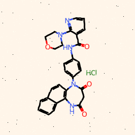 Cl.O=C1CC(=O)N(c2ccc(NC(=O)c3cccnc3N3CCOCC3)cc2)c2ccc3ccccc3c2N1